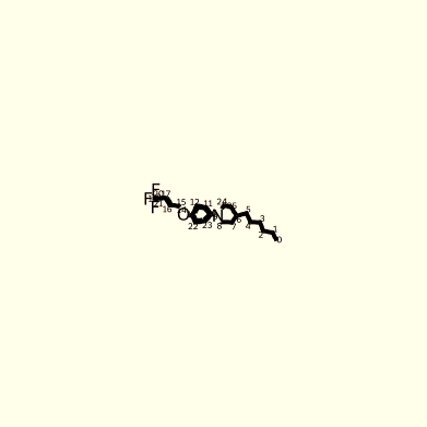 CCCCCCC1CCN(c2ccc(OC/C=C/C(F)(F)F)cc2)CC1